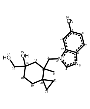 CC1(Cn2cnc3ccc(C#N)cc32)CC(O)(CO)CCC12CC2